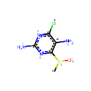 C[S+]([O-])c1nc(N)nc(Cl)c1N